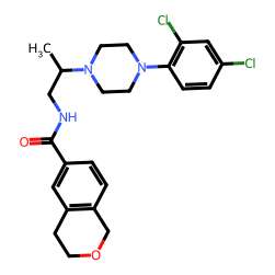 CC(CNC(=O)c1ccc2c(c1)CCOC2)N1CCN(c2ccc(Cl)cc2Cl)CC1